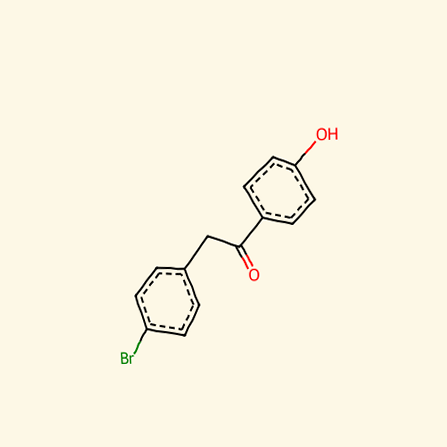 O=C(Cc1ccc(Br)cc1)c1ccc(O)cc1